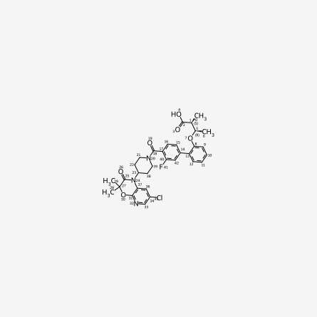 C[C@H](C(=O)O)[C@@H](C)Oc1ccccc1-c1ccc(C(=O)N2CCC(N3C(=O)C(C)(C)Oc4ncc(Cl)cc43)CC2)c(F)c1